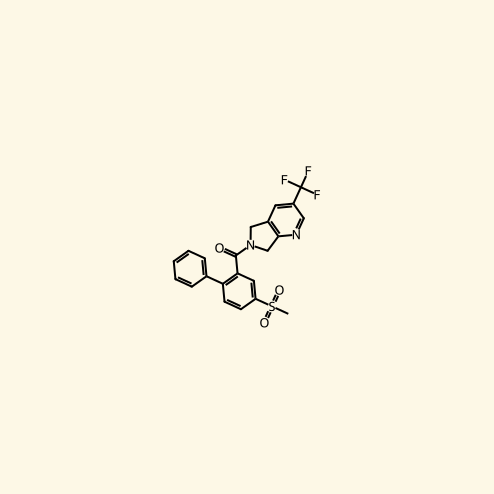 CS(=O)(=O)c1ccc(-c2ccccc2)c(C(=O)N2Cc3cc(C(F)(F)F)cnc3C2)c1